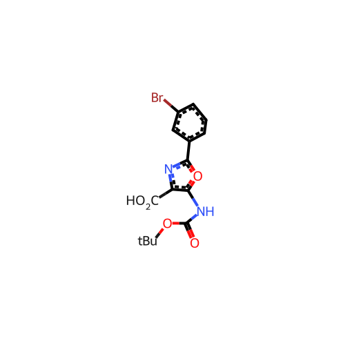 CC(C)(C)OC(=O)Nc1oc(-c2cccc(Br)c2)nc1C(=O)O